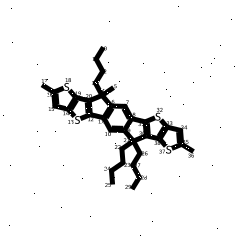 CCCCC1(C)c2cc3c(cc2-c2sc4cc(C)sc4c21)C(CCCC)(CCCC)c1c-3sc2cc(C)sc12